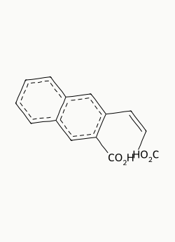 O=C(O)/C=C\c1cc2ccccc2cc1C(=O)O